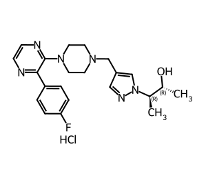 C[C@H]([C@@H](C)O)n1cc(CN2CCN(c3nccnc3-c3ccc(F)cc3)CC2)cn1.Cl